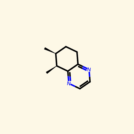 C[C@@H]1c2nccnc2CC[C@@H]1C